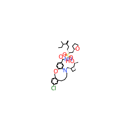 C=C(CC[C@H](C[C@H]1CCCO1)S(=O)(=O)NC(=O)c1ccc2c(c1)N(C[C@@H]1CC[C@H]1[C@H](C)O)CCCCc1cc(Cl)ccc1CO2)C(C)CC